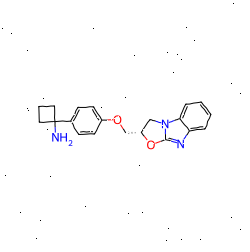 NC1(c2ccc(OC[C@@H]3Cn4c(nc5ccccc54)O3)cc2)CCC1